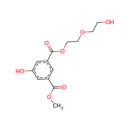 COC(=O)c1cc(O)cc(C(=O)OCCOCCO)c1